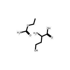 CCOC(N)=O.NC(CCO)C(=O)O